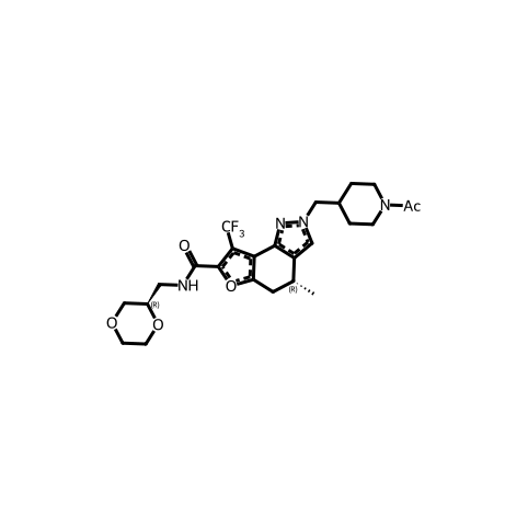 CC(=O)N1CCC(Cn2cc3c(n2)-c2c(oc(C(=O)NC[C@@H]4COCCO4)c2C(F)(F)F)C[C@H]3C)CC1